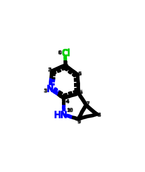 Clc1cnc2c(c1)C1CC1N2